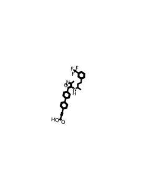 Cc1noc(-c2ccc(-c3ccc(C#CC(=O)O)cc3)cc2)c1NC(C)CCc1cccc(C(F)(F)F)c1